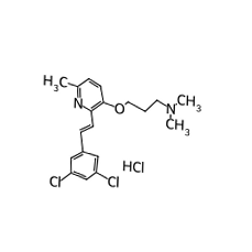 Cc1ccc(OCCCN(C)C)c(C=Cc2cc(Cl)cc(Cl)c2)n1.Cl